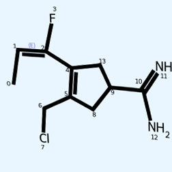 C/C=C(/F)C1=C(CCl)CC(C(=N)N)C1